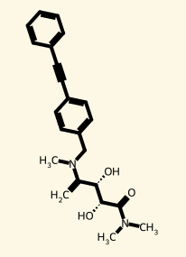 C=C([C@H](O)[C@@H](O)C(=O)N(C)C)N(C)Cc1ccc(C#Cc2ccccc2)cc1